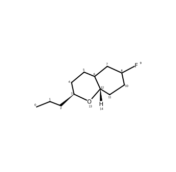 CCC[C@H]1CCC2CC(F)CC[C@@H]2O1